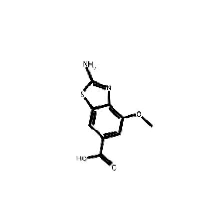 COc1cc(C(=O)O)cc2sc(N)nc12